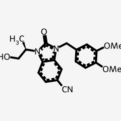 COc1ccc(Cn2c(=O)n([C@H](C)CO)c3ccc(C#N)cc32)cc1OC